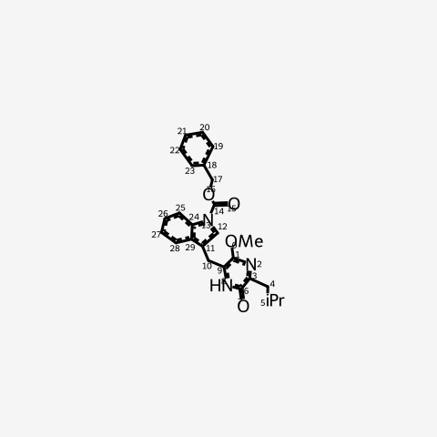 COc1nc(CC(C)C)c(=O)[nH]c1Cc1cn(C(=O)OCc2ccccc2)c2ccccc12